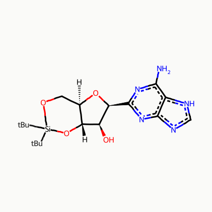 CC(C)(C)[Si]1(C(C)(C)C)OC[C@H]2O[C@@H](c3nc(N)c4[nH]cnc4n3)[C@@H](O)[C@@H]2O1